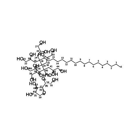 CCCCCCCCCCCCCCCCCCC(CC(O)CO)(CC(O)CO)C(CC(O)CO)(CC(O)CO)C(CC(O)CO)(CC(O)CO)C(=O)O[C@H](CO)[C@H]1OC[C@H](O)[C@H]1O